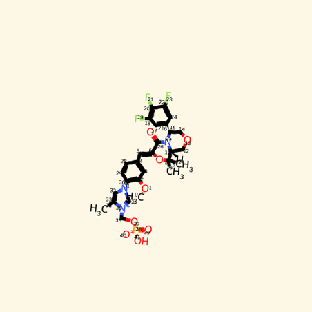 COc1cc(C=C2OC(C)(C)[C@H]3COC[C@@H](c4cc(F)c(F)c(F)c4)N3C2=O)ccc1-n1cc(C)[n+](COP(=O)([O-])O)c1